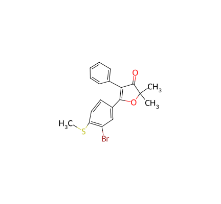 CSc1ccc(C2=C(c3ccccc3)C(=O)C(C)(C)O2)cc1Br